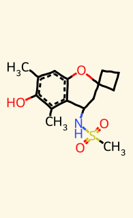 Cc1cc2c(c(C)c1O)C(NS(C)(=O)=O)CC1(CCC1)O2